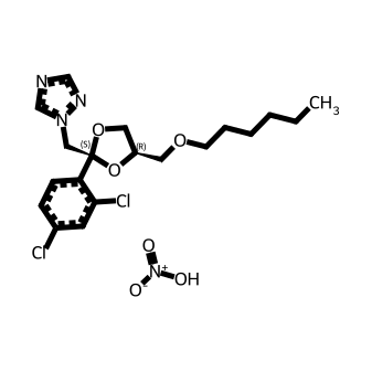 CCCCCCOC[C@@H]1CO[C@@](Cn2cncn2)(c2ccc(Cl)cc2Cl)O1.O=[N+]([O-])O